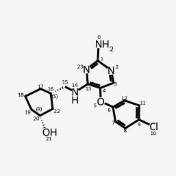 Nc1ncc(Oc2ccc(Cl)cc2)c(NC[C@H]2CCC[C@@H](O)C2)n1